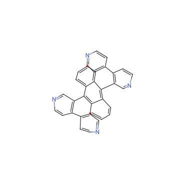 c1ccc2c(-c3cnccc3-c3ccncc3)c3ccccc3c(-c3cnccc3-c3ccncc3)c2c1